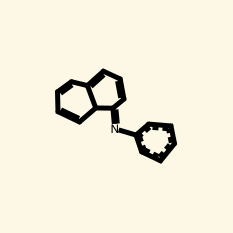 C1=CC2=CC=CC(=Nc3ccccc3)C2C=C1